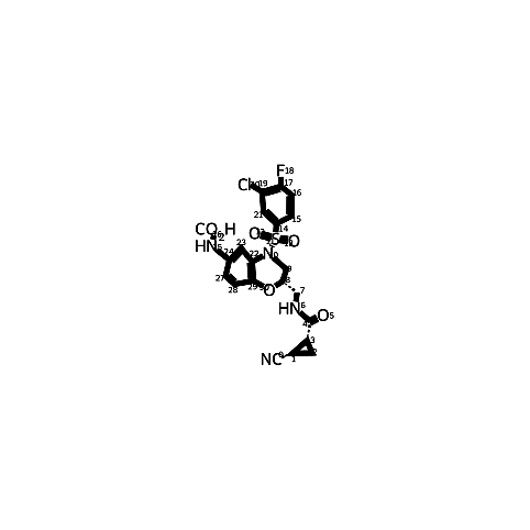 N#C[C@H]1C[C@H]1C(=O)NC[C@H]1CN(S(=O)(=O)c2ccc(F)c(Cl)c2)c2cc(NC(=O)O)ccc2O1